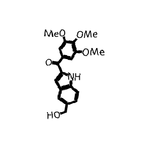 COc1cc(C(=O)c2cc3cc(CO)ccc3[nH]2)cc(OC)c1OC